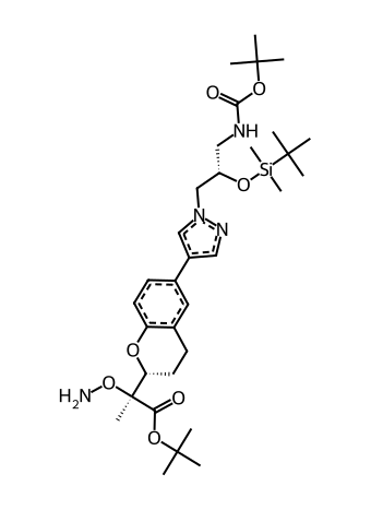 CC(C)(C)OC(=O)NC[C@@H](Cn1cc(-c2ccc3c(c2)CC[C@H]([C@](C)(ON)C(=O)OC(C)(C)C)O3)cn1)O[Si](C)(C)C(C)(C)C